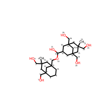 CC1(CO)CC2(CO)CCCC(COC(O)C3CC4(CO)CC(C)(CO)CC(CO)(C3)C4)(C1)C2